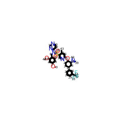 COc1ccc(CN(c2ccncn2)S(=O)(=O)c2cnc(O[C@H]3CC[C@H](c4cccc(C(F)(F)F)c4)C[C@@H]3N(C)C)cc2C)c(OC)c1